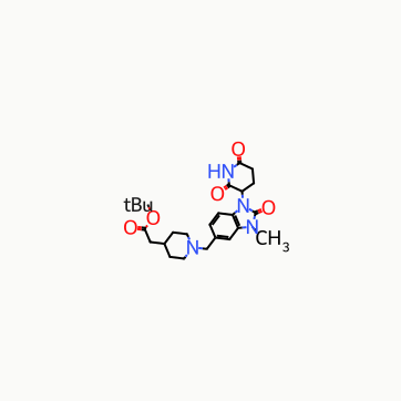 Cn1c(=O)n(C2CCC(=O)NC2=O)c2ccc(CN3CCC(CC(=O)OC(C)(C)C)CC3)cc21